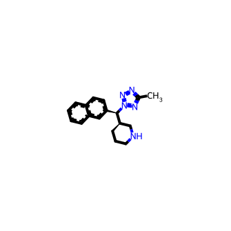 Cc1nnn([C@H](c2ccc3ccccc3c2)[C@@H]2CCCNC2)n1